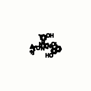 C[C@H]1C[C@@H](O)CN(c2nc(OCC3(CN(C)C)CC3)nc3c2CN(C(=O)c2cc(O)cc4cccc(I)c24)C3)C1